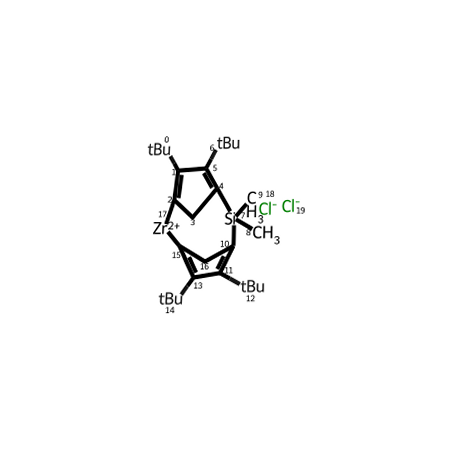 CC(C)(C)C1=[C]2CC(=C1C(C)(C)C)[Si](C)(C)C1=C(C(C)(C)C)C(C(C)(C)C)=[C](C1)[Zr+2]2.[Cl-].[Cl-]